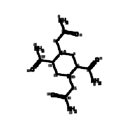 NC(=O)CN1CC(C(N)=O)N(CC(N)=O)CC1C(N)=O